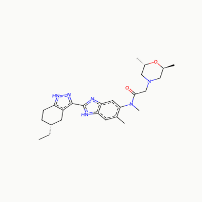 CC[C@@H]1CCc2[nH]nc(-c3nc4cc(N(C)C(=O)CN5C[C@H](C)O[C@@H](C)C5)c(C)cc4[nH]3)c2C1